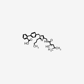 CCCCc1nc(CNC(=O)[C@H](S)CC(C)C)cn1Cc1ccc(-c2ccccc2C(=O)O)cc1